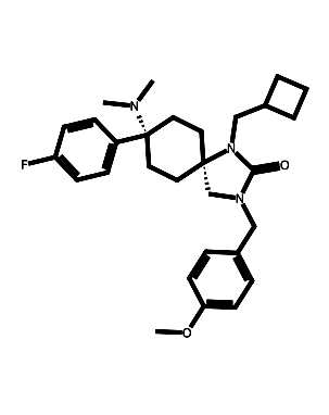 COc1ccc(CN2C[C@]3(CC[C@@](c4ccc(F)cc4)(N(C)C)CC3)N(CC3CCC3)C2=O)cc1